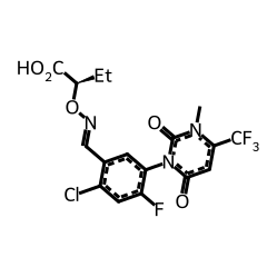 CC[C@@H](O/N=C/c1cc(-n2c(=O)cc(C(F)(F)F)n(C)c2=O)c(F)cc1Cl)C(=O)O